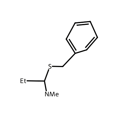 CCC(NC)SCc1ccccc1